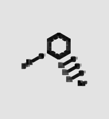 CC[O-].CC[O-].CC[O-].CC[O-].[B+3].[Na+].c1ccccc1